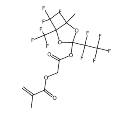 C=C(C)C(=O)OCC(=O)OC1(C(F)(F)C(F)(F)F)OC(C)(C)C(C(F)(F)F)(C(F)(F)F)O1